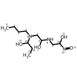 CCCCN(CC(O)NCC(O)N=O)C(O)CC